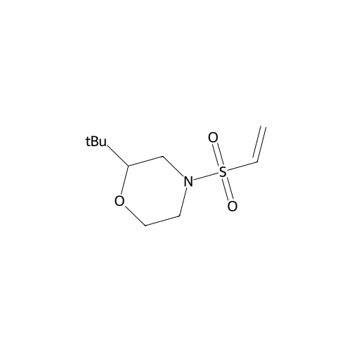 C=CS(=O)(=O)N1CCOC(C(C)(C)C)C1